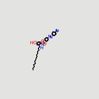 CCCCCCCCCCCCCCCc1cc(O)ccc1NS(=O)(=O)c1ccc(N=Nc2ccc(N(C)C)cc2)cc1